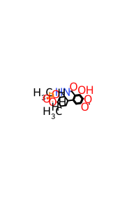 C[C@H]1CC2c3cc4c(c(O)c3C(=O)N[C@H]2[C@@H]2OP(C)(=O)O[C@@H]21)OCO4